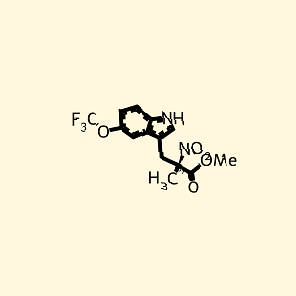 COC(=O)[C@](C)(Cc1c[nH]c2ccc(OC(F)(F)F)cc12)[N+](=O)[O-]